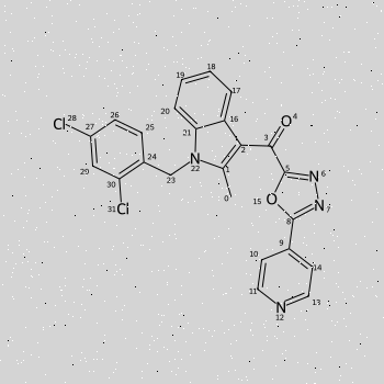 Cc1c(C(=O)c2nnc(-c3ccncc3)o2)c2ccccc2n1Cc1ccc(Cl)cc1Cl